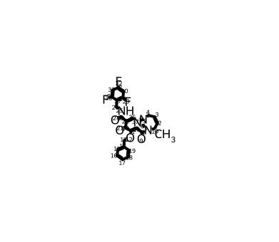 CC1C=CCN2CN1C(=O)c1c(OCc3ccccc3)c(=O)c(C(=O)NCc3c(F)cc(F)cc3F)cn12